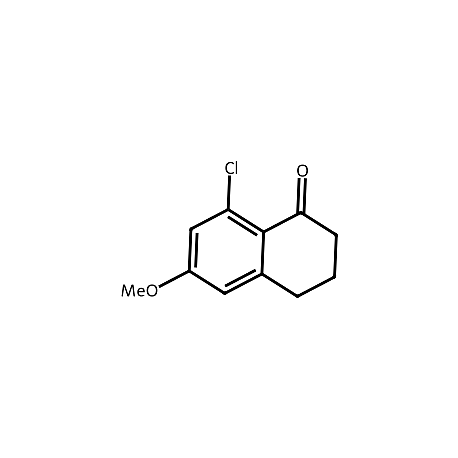 COc1cc(Cl)c2c(c1)CCCC2=O